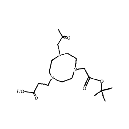 CC(=O)CN1CCN(CCC(=O)O)CCN(CC(=O)OC(C)(C)C)CC1